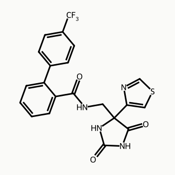 O=C1NC(=O)C(CNC(=O)c2ccccc2-c2ccc(C(F)(F)F)cc2)(c2cscn2)N1